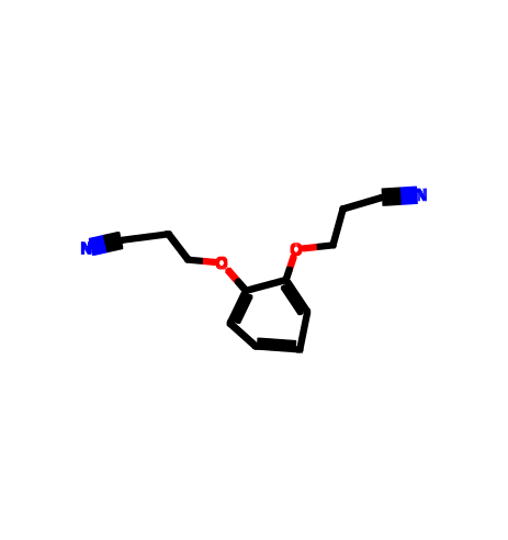 N#CCCOc1ccccc1OCCC#N